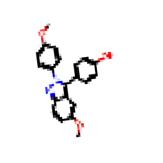 COc1ccc(-n2nc3ccc(OC)cc3c2-c2ccc(O)cc2)cc1